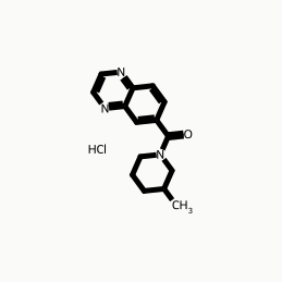 CC1CCCN(C(=O)c2ccc3nccnc3c2)C1.Cl